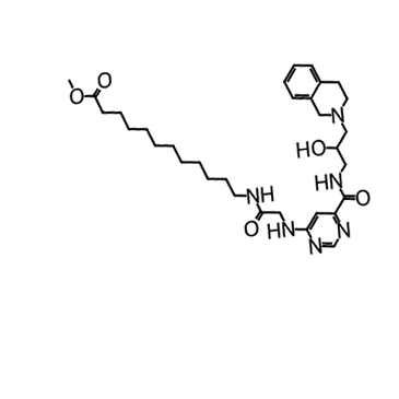 COC(=O)CCCCCCCCCCCNC(=O)CNc1cc(C(=O)NCC(O)CN2CCc3ccccc3C2)ncn1